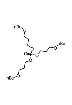 CCCCOCCCOP(=O)(OCCCOCCCC)OCCCOCCCC